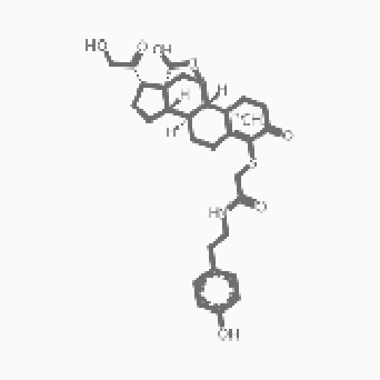 C[C@]12CCC(=O)C(SCC(=O)NCCc3ccc(O)cc3)=C1CC[C@H]1[C@@H]3CC[C@H](C(=O)CO)[C@@]34CC(OC4O)[C@@H]12